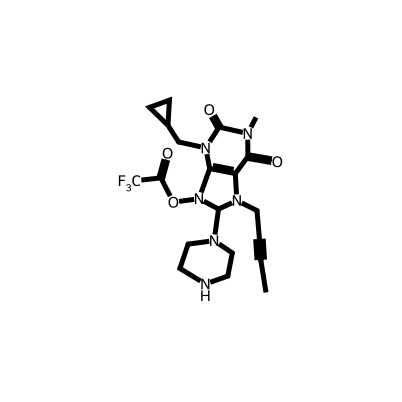 CC#CCN1c2c(n(CC3CC3)c(=O)n(C)c2=O)N(OC(=O)C(F)(F)F)C1N1CCNCC1